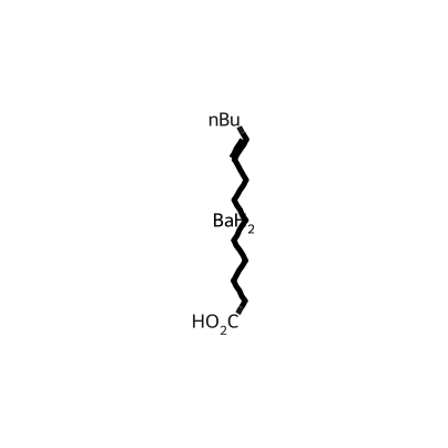 CCCCC=CCCCCCCCC(=O)O.[BaH2]